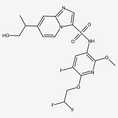 COc1nc(OCC(F)F)c(F)cc1NS(=O)(=O)c1cnc2cc(C(C)CO)ccn12